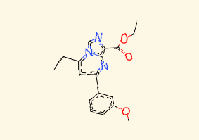 CCOC(=O)c1ncn2c(CC)cc(-c3cccc(OC)c3)nc12